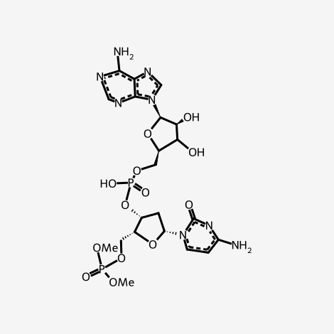 COP(=O)(OC)OC[C@H]1O[C@@H](n2ccc(N)nc2=O)C[C@H]1OP(=O)(O)OC[C@H]1O[C@@H](n2cnc3c(N)ncnc32)[C@@H](O)C1O